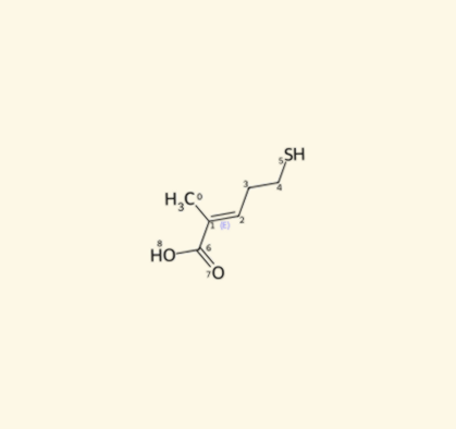 C/C(=C\CCS)C(=O)O